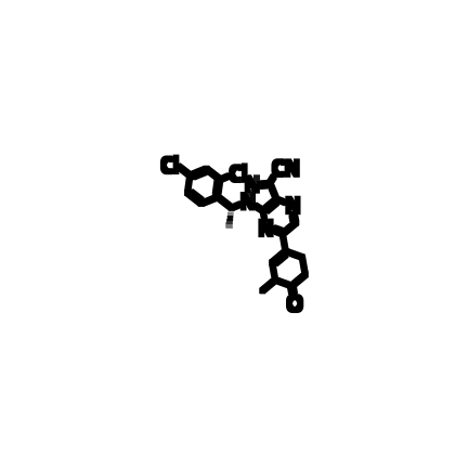 CC1C=C(c2cnc3c(C#N)nn([C@H](C)c4ccc(Cl)cc4Cl)c3n2)CCC1=O